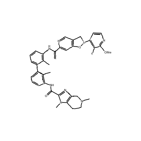 C=C(Nc1cccc(-c2cccc(NC(=O)c3nc4c(n3C)CCN(C)C4)c2C)c1C)c1cc2c(cn1)CN(c1ccnc(OC)c1F)O2